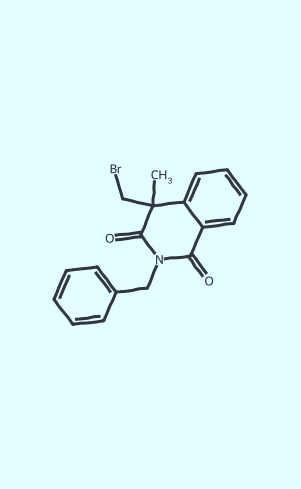 CC1(CBr)C(=O)N(Cc2ccccc2)C(=O)c2ccccc21